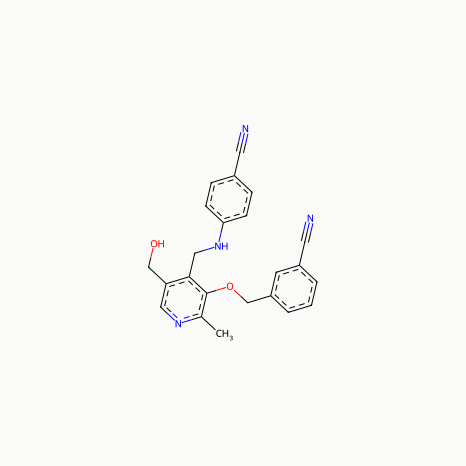 Cc1ncc(CO)c(CNc2ccc(C#N)cc2)c1OCc1cccc(C#N)c1